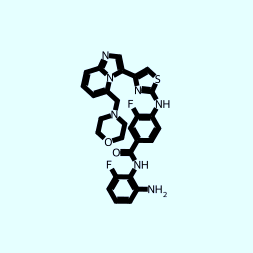 Nc1cccc(F)c1NC(=O)c1ccc(Nc2nc(-c3cnc4cccc(CN5CCOCC5)n34)cs2)c(F)c1